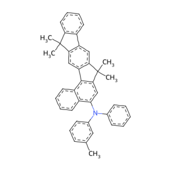 Cc1cccc(N(c2ccccc2)c2cc3c(c4ccccc24)-c2cc4c(cc2C3(C)C)-c2ccccc2C4(C)C)c1